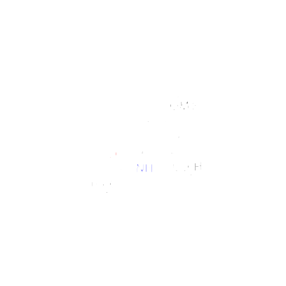 CCOC(=O)C(=O)Nc1ccc(OC)cc1C(=O)O